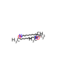 CCCCCCCCCCCCN=O.CCCCCCCCCCCC[N+](C)(C)[O-]